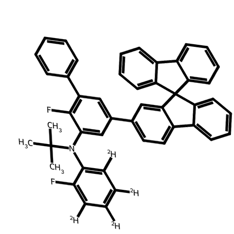 [2H]c1c([2H])c([2H])c(N(c2cc(-c3ccc4c(c3)C3(c5ccccc5-c5ccccc53)c3ccccc3-4)cc(-c3ccccc3)c2F)C(C)(C)C)c(F)c1[2H]